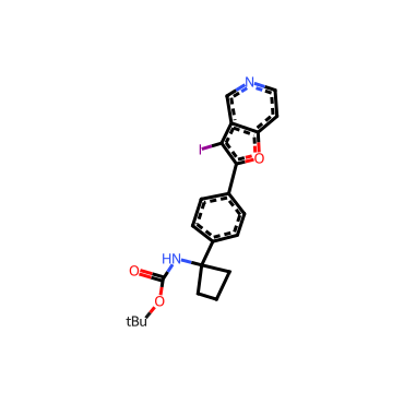 CC(C)(C)OC(=O)NC1(c2ccc(-c3oc4ccncc4c3I)cc2)CCC1